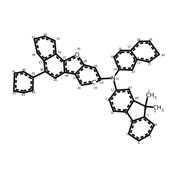 CC1(C)c2ccccc2-c2ccc(N(c3ccc4ccccc4c3)c3ccc4c(c3)oc3c5ccccc5c(-c5ccccc5)cc43)cc21